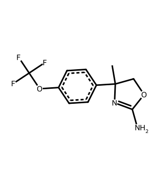 CC1(c2ccc(OC(F)(F)F)cc2)COC(N)=N1